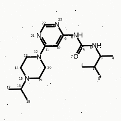 CC(C)C(C)NC(=O)Nc1cc(N2CCN(C(C)C)CC2)ncn1